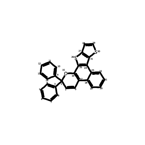 C1=CC(c2ccccc2)(c2ccccc2)Oc2c1c1ccccc1c1c2sc2ccsc21